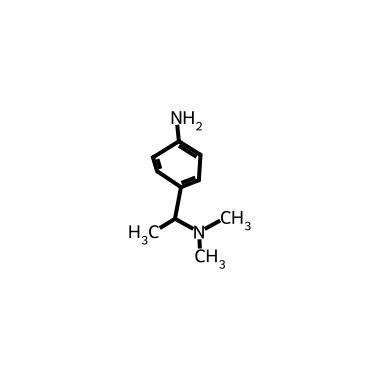 CC(c1ccc(N)cc1)N(C)C